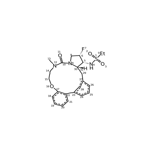 CCS(=O)(=O)N[C@H]1[C@@H](F)CN2C(=O)N(C)CCOc3ccccc3-c3cccc(c3)C[C@@H]12